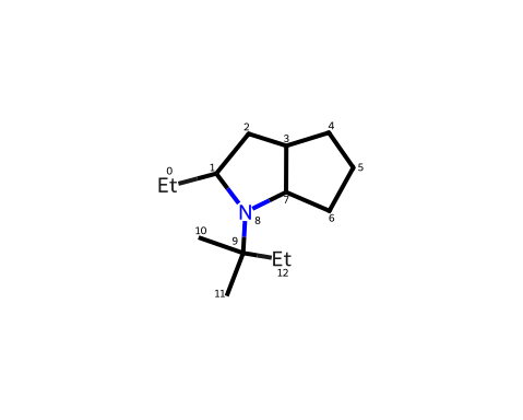 CCC1CC2CCCC2N1C(C)(C)CC